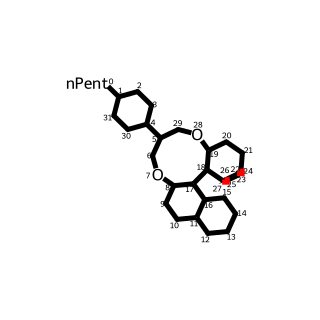 CCCCCC1CCC(C2COC3CCC4CCCCC4C3C3C(CCC4CCCCC43)OC2)CC1